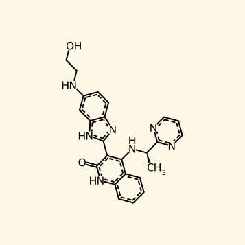 C[C@@H](Nc1c(-c2nc3ccc(NCCO)cc3[nH]2)c(=O)[nH]c2ccccc12)c1ncccn1